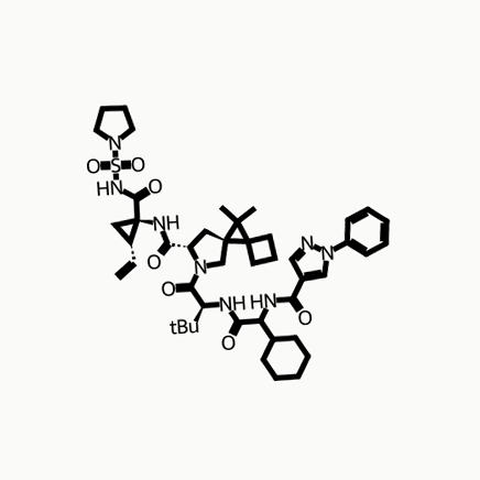 C=C[C@@H]1C[C@]1(NC(=O)[C@@H]1C[C@@]2(CN1C(=O)[C@@H](NC(=O)C(NC(=O)c1cnn(-c3ccccc3)c1)C1CCCCC1)C(C)(C)C)C(C)(C)C21CCC1)C(=O)NS(=O)(=O)N1CCCC1